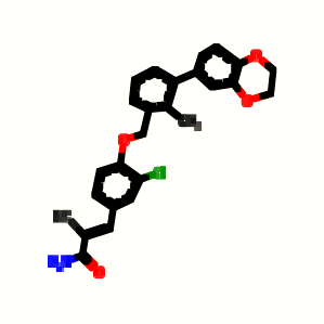 Cc1c(COc2ccc(/C=C(\C#N)C(N)=O)cc2Cl)cccc1-c1ccc2c(c1)OCCO2